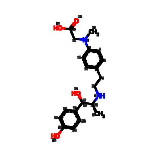 C[C@H](NCCc1ccc(N(C)CC(=O)O)cc1)[C@H](O)c1ccc(O)cc1